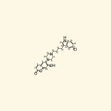 O=c1ccc2cc(N3CCN(CCCCc4c[nH]c5ccc(Cl)cc45)CC3)c(O)cc2o1